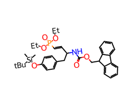 CCOP(=O)(C=CC(Cc1ccc(O[Si](C)(C)C(C)(C)C)cc1)NC(=O)OCC1c2ccccc2-c2ccccc21)OCC